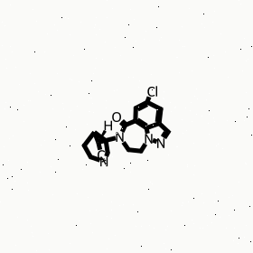 O=C1c2cc(Cl)cc3cnn(c23)CCN1[C@@H]1CN2CCC1CC2